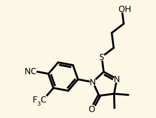 CC1(C)N=C(SCCCO)N(c2ccc(C#N)c(C(F)(F)F)c2)C1=O